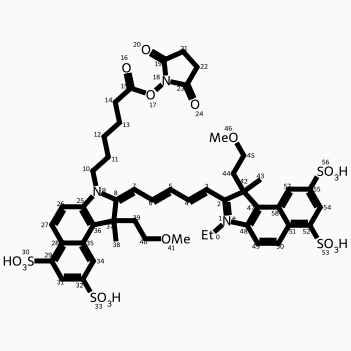 CC[N+]1=C(/C=C/C=C/C=C2/N(CCCCCC(=O)ON3C(=O)CCC3=O)c3ccc4c(S(=O)(=O)O)cc(S(=O)(=O)O)cc4c3C2(C)CCOC)C(C)(CCOC)c2c1ccc1c(S(=O)(=O)O)cc(S(=O)(=O)O)cc21